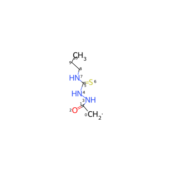 [CH2]C(=O)NNC(=S)NCCC